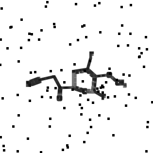 COc1c(F)cc(C(=O)CC#N)cc1F